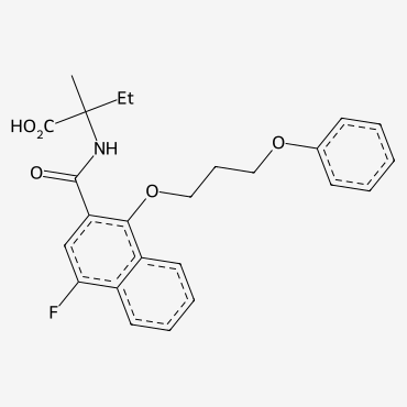 CCC(C)(NC(=O)c1cc(F)c2ccccc2c1OCCCOc1ccccc1)C(=O)O